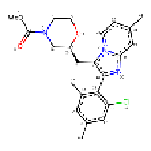 COC(=O)N1CCO[C@@H](Cc2c(-c3c(C)cc(C)cc3Cl)nc3cc(C)ccn23)C1